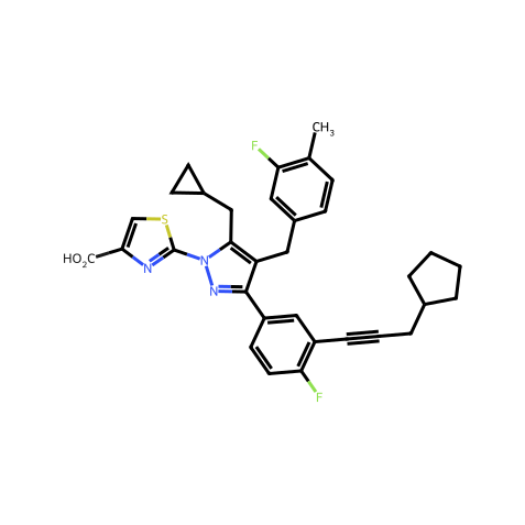 Cc1ccc(Cc2c(-c3ccc(F)c(C#CCC4CCCC4)c3)nn(-c3nc(C(=O)O)cs3)c2CC2CC2)cc1F